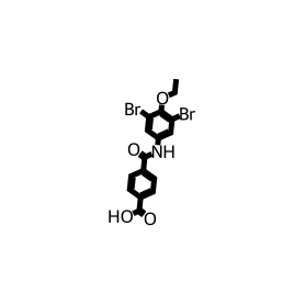 CCOc1c(Br)cc(NC(=O)c2ccc(C(=O)O)cc2)cc1Br